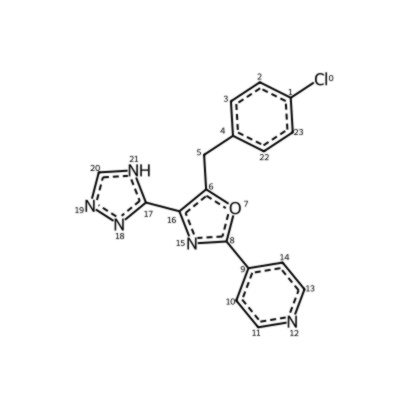 Clc1ccc(Cc2oc(-c3ccncc3)nc2-c2nnc[nH]2)cc1